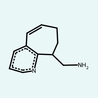 NCC1CCC=Cc2cccnc21